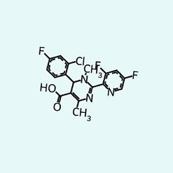 CC1=C(C(=O)O)C(c2ccc(F)cc2Cl)N(C)C(c2ncc(F)cc2F)=N1